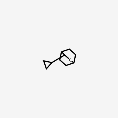 [CH]1CC1C1CC2CCC1CC2